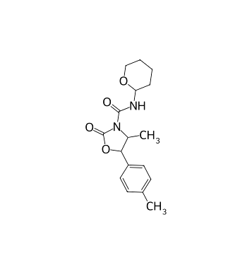 Cc1ccc(C2OC(=O)N(C(=O)NC3CCCCO3)C2C)cc1